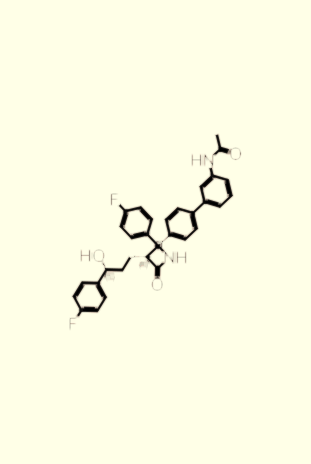 CC(=O)Nc1cccc(-c2ccc([C@@]3(c4ccc(F)cc4)NC(=O)[C@@H]3CC[C@H](O)c3ccc(F)cc3)cc2)c1